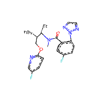 CCCC(COc1ccc(F)cn1)C(CC)N(C)C(=O)c1cc(F)ccc1-n1nccn1